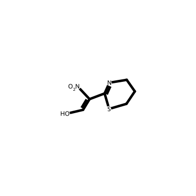 O=[N+]([O-])C(=CO)C1=NCCCS1